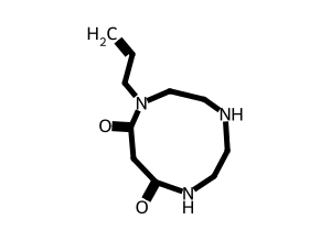 C=CCN1CCNCCNC(=O)CC1=O